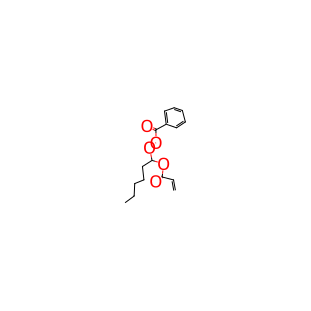 C=CC(=O)OC(CCCCC)OOC(=O)c1ccccc1